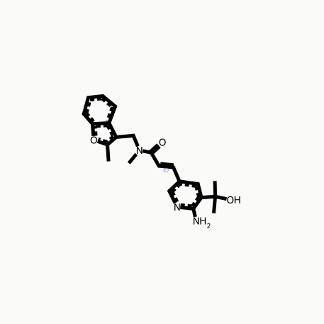 Cc1oc2ccccc2c1CN(C)C(=O)/C=C/c1cnc(N)c(C(C)(C)O)c1